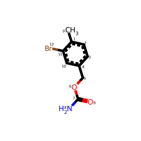 Cc1ccc(COC(N)=O)cc1Br